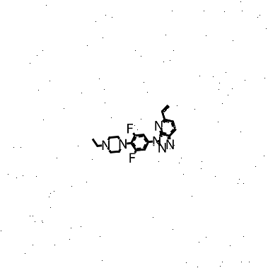 C=Cc1ccc2nnn(-c3cc(F)c(N4CCN(CC)CC4)c(F)c3)c2n1